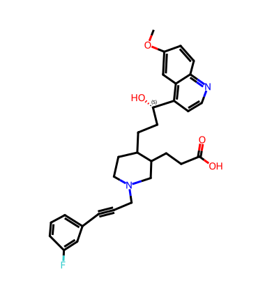 COc1ccc2nccc([C@@H](O)CCC3CCN(CC#Cc4cccc(F)c4)CC3CCC(=O)O)c2c1